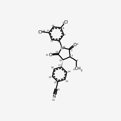 CCC1C(=O)N(c2cc(Cl)cc(Cl)c2)C(=O)[C@H]1c1ccc(C#N)cc1